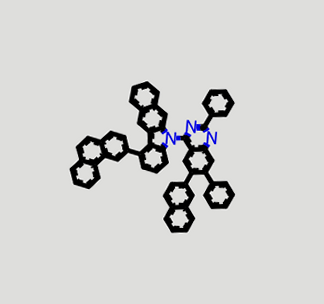 c1ccc(-c2nc(-n3c4cc5ccccc5cc4c4c(-c5ccc6ccc7ccccc7c6c5)cccc43)c3cc(-c4ccc5ccccc5c4)c(-c4ccccc4)cc3n2)cc1